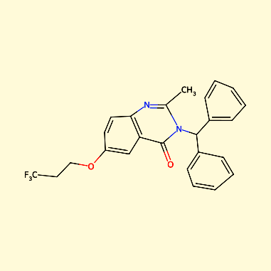 Cc1nc2ccc(OCCC(F)(F)F)cc2c(=O)n1C(c1ccccc1)c1ccccc1